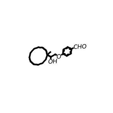 CC1(C(O)COc2ccc(C=O)cc2)CCCCCCCCCCC1